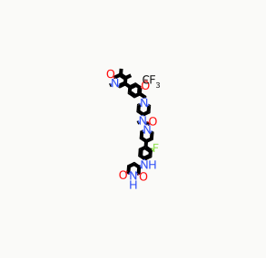 Cc1c(-c2ccc(CN3CCC(N(C)C(=O)N4CCC(c5ccc(NC6CCC(=O)NC6=O)cc5F)CC4)CC3)c(OC(F)(F)F)c2)cn(C)c(=O)c1C